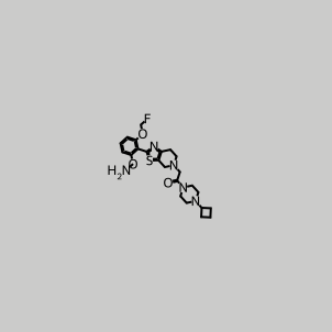 NOc1cccc(OCF)c1-c1nc2c(s1)CN(CC(=O)N1CCN(C3CCC3)CC1)CC2